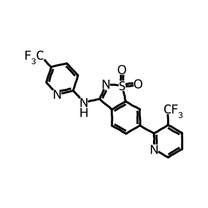 O=S1(=O)N=C(Nc2ccc(C(F)(F)F)cn2)c2ccc(-c3ncccc3C(F)(F)F)cc21